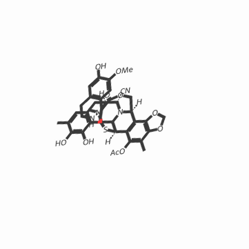 COc1cc2c(cc1O)CCN[C@]21CS[C@@H]2c3c(OC(C)=O)c(C)c4c(c3[C@H](COC1=O)N1C2C2c3c(cc(C)c(O)c3O)C[C@@H]([C@@H]1C#N)N2C)OCO4